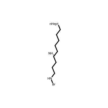 CCCCCCCCCCCCCCCCNBr.N